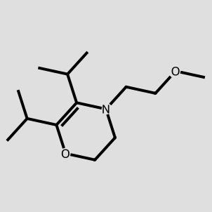 COCCN1CCOC(C(C)C)=C1C(C)C